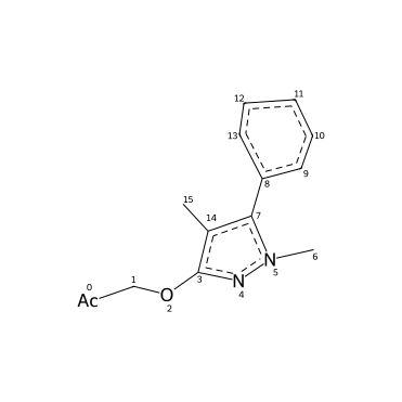 CC(=O)COc1nn(C)c(-c2ccccc2)c1C